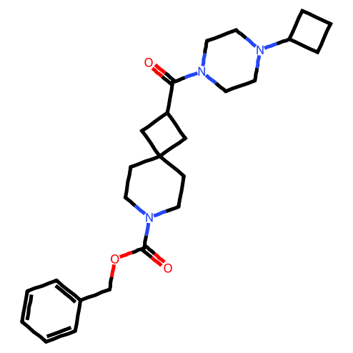 O=C(OCc1ccccc1)N1CCC2(CC1)CC(C(=O)N1CCN(C3CCC3)CC1)C2